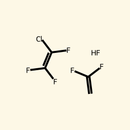 C=C(F)F.F.FC(F)=C(F)Cl